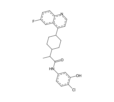 CC(C(=O)Nc1ccc(Cl)c(O)c1)C1CCC(c2ccnc3ccc(F)cc23)CC1